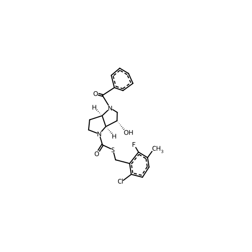 Cc1ccc(Cl)c(CSC(=O)N2CC[C@@H]3[C@H]2[C@@H](O)CN3C(=O)c2ccccc2)c1F